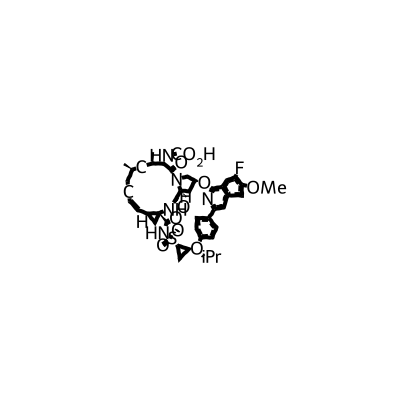 COc1cc2cc(-c3ccc(OC(C)C)cc3)nc(O[C@@H]3C[C@H]4C(=O)N[C@]5(C(=O)NS(=O)(=O)C6CC6)C[C@H]5/C=C\CC[C@@H](C)C[C@@H](C)[C@H](NC(=O)O)C(=O)N4C3)c2cc1F